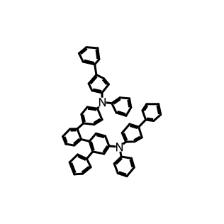 c1ccc(-c2ccc(N(c3ccccc3)c3ccc(-c4ccccc4-c4ccc(N(c5ccccc5)c5ccc(-c6ccccc6)cc5)cc4-c4ccccc4)cc3)cc2)cc1